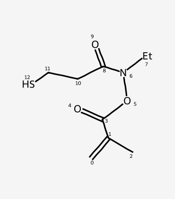 C=C(C)C(=O)ON(CC)C(=O)CCS